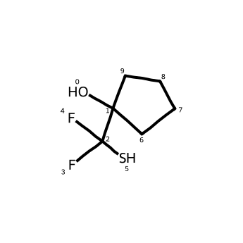 OC1(C(F)(F)S)CCCC1